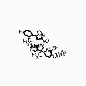 COc1ccc(C(C)(CNC(=O)c2cc(-c3ccc(F)cc3F)on2)c2cnn(C)c2)nc1Br